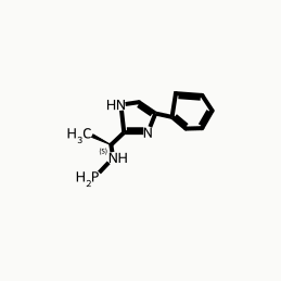 C[C@H](NP)c1nc(-c2ccccc2)c[nH]1